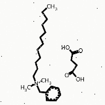 CCCCCCCCCCCC[N+](C)(C)Cc1ccccc1.O=C(O)CCC(=O)O